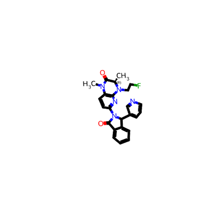 C[C@@H]1C(=O)N(C)c2ccc(N3C(=O)c4ccccc4C3c3cccnc3)nc2N1CCF